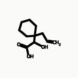 C=CCC1(C(O)C(=O)O)CCCCC1